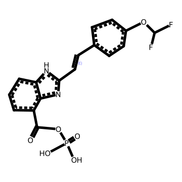 O=C(OP(=O)(O)O)c1cccc2[nH]c(/C=C/c3ccc(OC(F)F)cc3)nc12